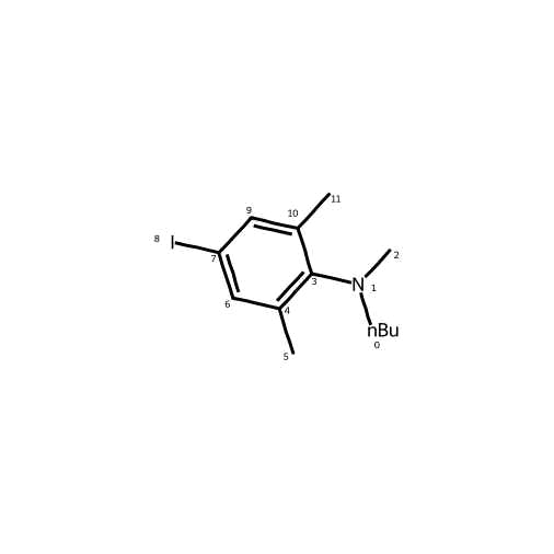 CCCCN(C)c1c(C)cc(I)cc1C